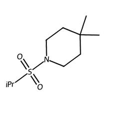 CC(C)S(=O)(=O)N1CCC(C)(C)CC1